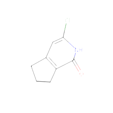 O=c1[nH]c(Cl)cc2c1CCC2